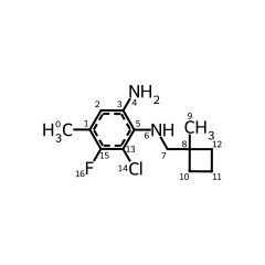 Cc1cc(N)c(NCC2(C)CCC2)c(Cl)c1F